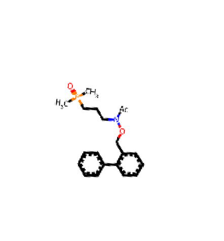 CC(=O)N(CCCP(C)(C)=O)OCc1ccccc1-c1ccccc1